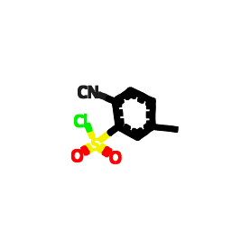 [C-]#[N+]c1ccc(C)cc1S(=O)(=O)Cl